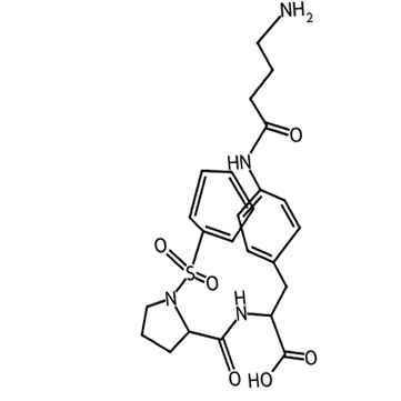 NCCCC(=O)Nc1ccc(CC(NC(=O)C2CCCN2S(=O)(=O)c2ccccc2)C(=O)O)cc1